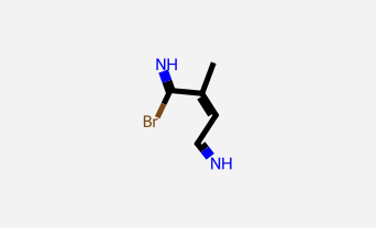 C/C(=C/C=N)C(=N)Br